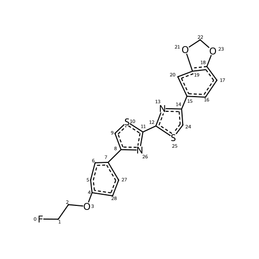 FCCOc1ccc(-c2csc(-c3nc(-c4ccc5c(c4)OCO5)cs3)n2)cc1